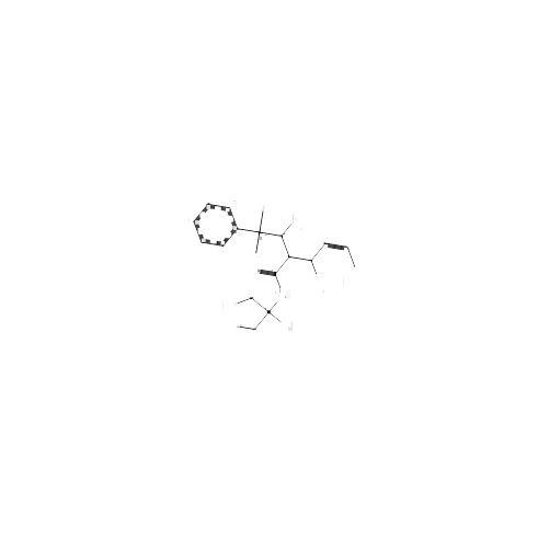 C/C=C\C(C(=O)O)C(C(=O)NC(CO)(CO)CCC)C(CC)C(C)(C)c1ccccc1